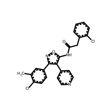 Cc1cc(-c2noc(NC(=O)Cc3ccccc3Cl)c2-c2ccncc2)ccc1Cl